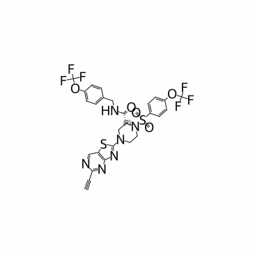 C#Cc1ncc2sc(N3CCN(S(=O)(=O)c4ccc(OC(F)(F)F)cc4)[C@@H](C(=O)NCc4ccc(OC(F)(F)F)cc4)C3)nc2n1